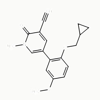 C#Cc1cc(-c2cc(SC)ccc2OCC2CC2)cn(C)c1=O